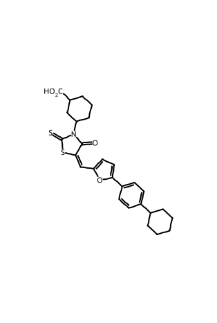 O=C(O)C1CCCC(N2C(=O)/C(=C\c3ccc(-c4ccc(C5CCCCC5)cc4)o3)SC2=S)C1